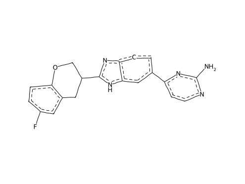 Nc1nccc(-c2ccc3nc(C4COc5ccc(F)cc5C4)[nH]c3c2)n1